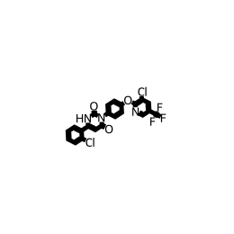 O=c1cc(-c2ccccc2Cl)[nH]c(=O)n1-c1ccc(Oc2ncc(C(F)(F)F)cc2Cl)cc1